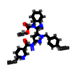 COc1ccc(Cn2nc(NC(=O)c3ccc(OC)nc3)cc2-c2nc3ccccc3n2C(=O)OC(C)(C)C)cc1